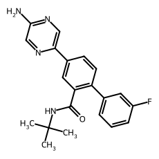 CC(C)(C)NC(=O)c1cc(-c2cnc(N)cn2)ccc1-c1cccc(F)c1